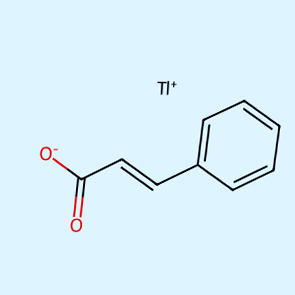 O=C([O-])C=Cc1ccccc1.[Tl+]